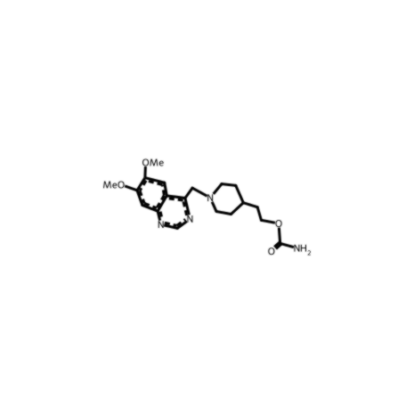 COc1cc2ncnc(CN3CCC(CCOC(N)=O)CC3)c2cc1OC